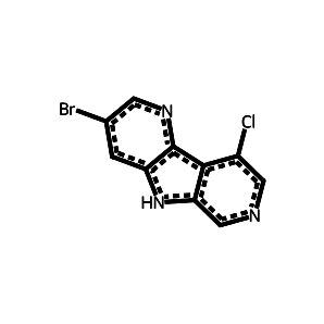 Clc1cncc2[nH]c3cc(Br)cnc3c12